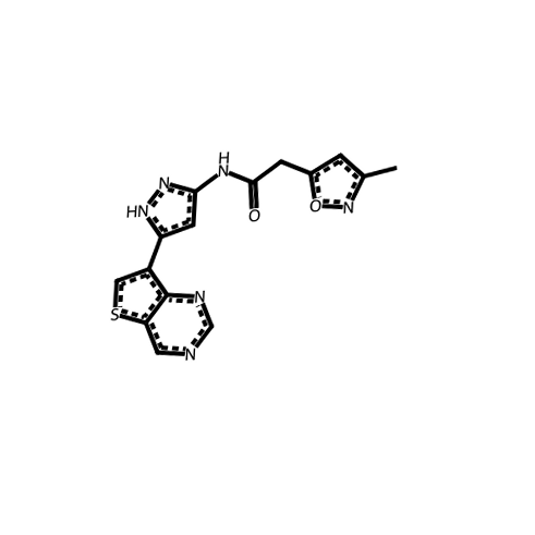 Cc1cc(CC(=O)Nc2cc(-c3csc4cncnc34)[nH]n2)on1